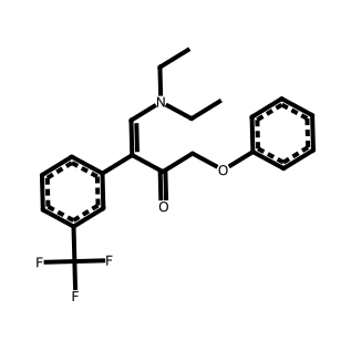 CCN(C=C(C(=O)COc1ccccc1)c1cccc(C(F)(F)F)c1)CC